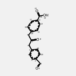 O=Cc1ccc(CC(=O)Cc2ccc(C(=O)O)cc2)cc1